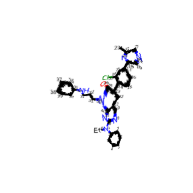 CCN(c1ccccc1)c1ncc2cc(-c3ccc(-c4cncc(C)n4)cc3Cl)c(=O)n(CCCNc3ccccc3)c2n1